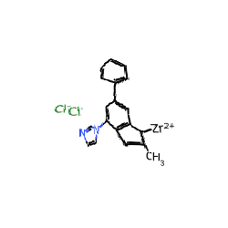 CC1=Cc2c(cc(-c3ccccc3)cc2-n2ccnc2)[CH]1[Zr+2].[Cl-].[Cl-]